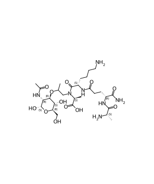 CC(=O)N[C@@H]1[C@@H](OC(C)CN(C(=O)[C@H](CCCCN)NC(=O)CC[C@@H](NC(=O)[C@H](C)N)C(N)=O)[C@@H](C)C(=O)O)[C@H](O)[C@@H](CO)O[C@@H]1O